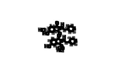 Cl.Cl.O.O=C1c2ccc(O)cc2C(=O)N1NCc1ccncc1.O=C1c2ccc(O)cc2C(=O)N1NCc1ccncc1